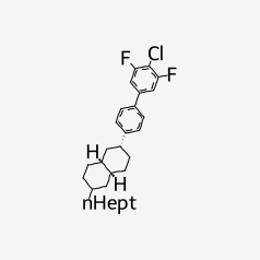 CCCCCCCC1CC[C@@H]2C[C@H](c3ccc(-c4cc(F)c(Cl)c(F)c4)cc3)CC[C@@H]2C1